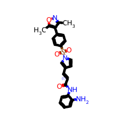 Cc1noc(C)c1-c1ccc(S(=O)(=O)n2ccc(/C=C/C(=O)Nc3ccccc3N)c2)cc1